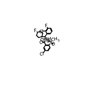 CS(=O)(=O)c1ccc(Cl)cc1C(=O)NC(c1cccc(F)c1Cl)[C@]1(O)CC[C@H](F)CC1